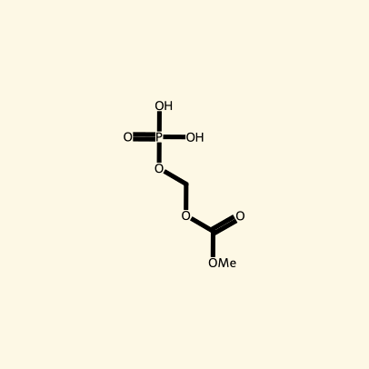 COC(=O)OCOP(=O)(O)O